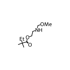 CCC(C)(C)C(=O)OCCNCOC